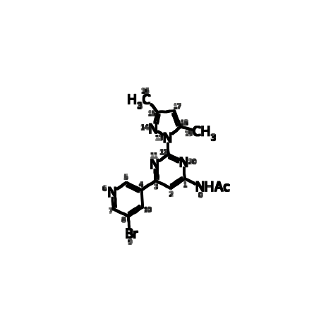 CC(=O)Nc1cc(-c2cncc(Br)c2)nc(-n2nc(C)cc2C)n1